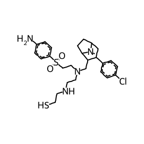 CN1C2CCC1C(CN(CCNCCS)CCS(=O)(=O)c1ccc(N)cc1)C(c1ccc(Cl)cc1)C2